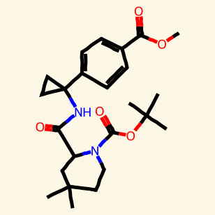 COC(=O)c1ccc(C2(NC(=O)C3CC(C)(C)CCN3C(=O)OC(C)(C)C)CC2)cc1